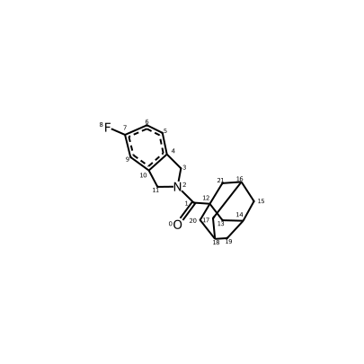 O=C(N1Cc2ccc(F)cc2C1)C12CC3CC(CC(C3)C1)C2